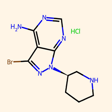 Cl.Nc1ncnc2c1c(Br)nn2[C@@H]1CCCNC1